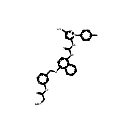 CCCCc1cc(NC(=O)Nc2ccc(OCc3ccnc(NC(=O)CNC)c3)c3ccccc23)n(-c2ccc(C)cc2)n1